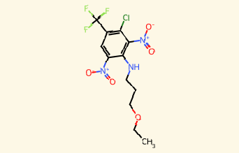 CCOCCCNc1c([N+](=O)[O-])cc(C(F)(F)F)c(Cl)c1[N+](=O)[O-]